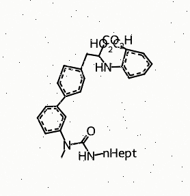 CCCCCCCNC(=O)N(C)c1cccc(-c2ccc(CC(Nc3ccccc3C(=O)O)C(=O)O)cc2)c1